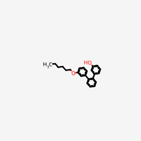 CCCCCCOc1cccc(-c2ccccc2-c2cccc(O)c2)c1